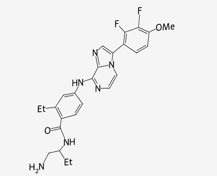 CCc1cc(Nc2nccn3c(-c4ccc(OC)c(F)c4F)cnc23)ccc1C(=O)NC(CC)CN